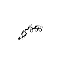 CC(C)N1CCN(CCCN(C)C(=O)c2c[nH]c(=O)o2)CC1